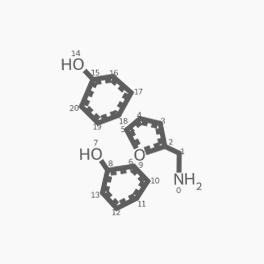 NCc1ccco1.Oc1ccccc1.Oc1ccccc1